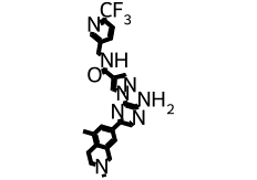 Cc1cc(-c2cnc(N)c(-n3cc(C(=O)NCc4ccc(C(F)(F)F)nc4)cn3)n2)cc2c1CCN(C)C2